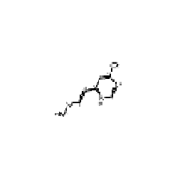 CCCS/C=C/c1cc(CC)ncn1